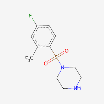 O=S(=O)(c1ccc(F)cc1C(F)(F)F)N1CCNCC1